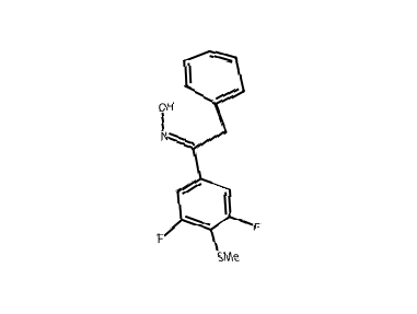 CSc1c(F)cc(C(Cc2ccccc2)=NO)cc1F